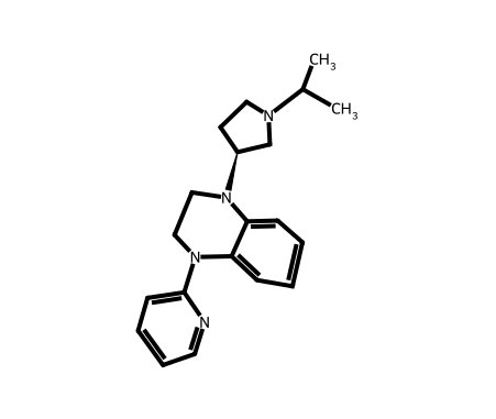 CC(C)N1CC[C@H](N2CCN(c3ccccn3)c3ccccc32)C1